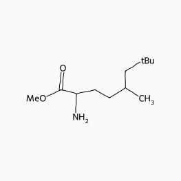 COC(=O)C(N)CCC(C)CC(C)(C)C